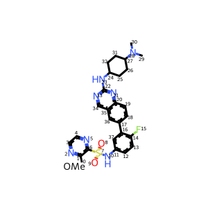 COc1nccnc1S(=O)(=O)Nc1ccc(F)c(-c2ccc3nc(NC4CCC(N(C)C)CC4)ncc3c2)c1